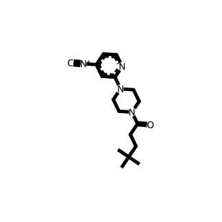 [C-]#[N+]c1ccnc(N2CCN(C(=O)CCC(C)(C)C)CC2)c1